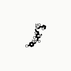 CN(Cc1cc2c(s1)c(=O)c(C(=O)NCc1ccc(Cl)cc1)cn2C)CC(O)c1ccco1